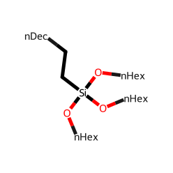 CCCCCCCCCCCC[Si](OCCCCCC)(OCCCCCC)OCCCCCC